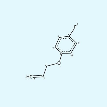 [CH]=CCOc1ccc(F)cc1